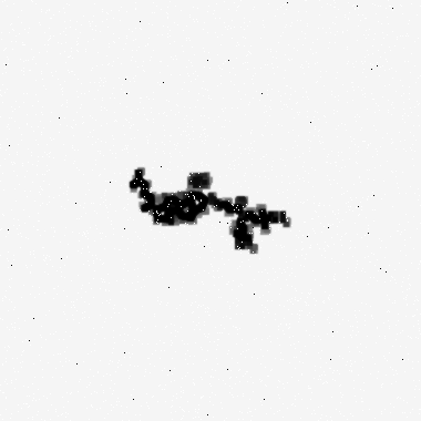 CC(C)CCCC(C)[C@H]1CC[C@H]2[C@@H]3CC=C4C[C@@H](SSCCC(=O)N(CCC(C)(C)N)CCC(C)(C)N)CC[C@]4(C)[C@H]3CC[C@]12C.Cl.Cl